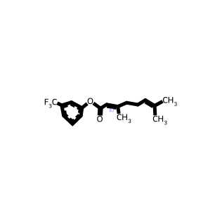 CC(C)=CCC/C(C)=C/C(=O)Oc1cccc(C(F)(F)F)c1